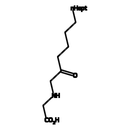 CCCCCCCCCCCC(=O)CNCC(=O)O